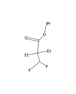 CCC(CC)(C(=O)OC(C)C)C(F)F